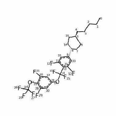 CCCCC[C@H]1CC[C@H](c2cc(F)c(C(F)(F)Oc3cc(F)c(OC(F)(F)F)c(F)c3)c(F)c2)CC1